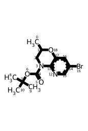 CC1CN(C(=O)OC(C)(C)C)c2ncc(Br)cc2O1